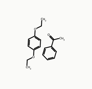 CC(=O)c1ccccc1.CCOc1ccc(OCC)cc1